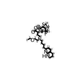 CCOCCN(CCCCc1ccc2c(n1)NCCC2)CCC(NC(=O)c1scnc1C(F)(F)F)C(=O)O